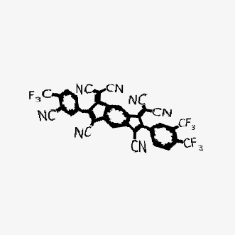 N#CC(C#N)=C1C(c2ccc(C(F)(F)F)c(C#N)c2)=C(C#N)c2cc3c(cc21)C(=C(C#N)C#N)C(c1ccc(C(F)(F)F)c(C(F)(F)F)c1)=C3C#N